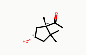 CC(=O)[C@@]1(C)C[C@@H](O)CC1(C)C